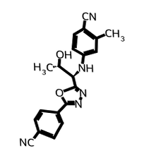 Cc1cc(N[C@@H](c2nnc(-c3ccc(C#N)cc3)o2)[C@H](C)O)ccc1C#N